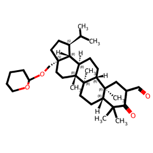 CC(C)[C@@H]1CC[C@]2(COC3CCCCO3)CC[C@]3(C)[C@H](CC[C@@H]4[C@@]5(C)CC(C=O)C(=O)C(C)(C)[C@@H]5CC[C@]43C)[C@@H]12